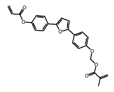 C=CC(=O)Oc1ccc(-c2ccc(-c3ccc(OCOC(=O)C(=C)C)cc3)o2)cc1